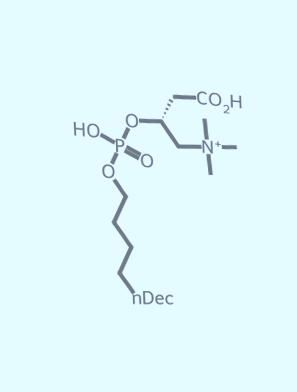 CCCCCCCCCCCCCCOP(=O)(O)O[C@H](CC(=O)O)C[N+](C)(C)C